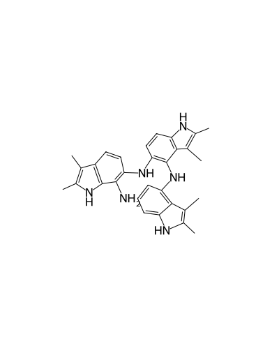 Cc1[nH]c2c(N)c(Nc3ccc4[nH]c(C)c(C)c4c3Nc3cccc4[nH]c(C)c(C)c34)ccc2c1C